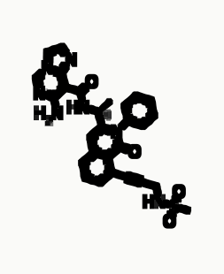 C[C@H](NC(=O)c1c(N)ncn2ccnc12)c1cc2cccc(C#CCNS(C)(=O)=O)c2c(=O)n1-c1ccccc1